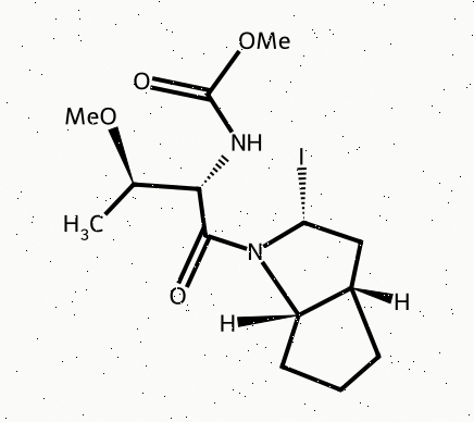 COC(=O)N[C@H](C(=O)N1[C@H](I)C[C@@H]2CCC[C@@H]21)[C@@H](C)OC